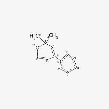 CC1(C)C=C(c2ccccc2)C=CO1